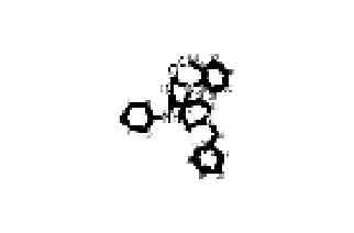 O=C1N=C(NC2CCCCC2)C2(CCN(Cc3ccccc3)CC2)N1c1ccccc1Cl